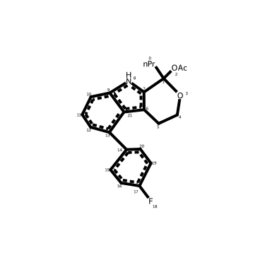 CCCC1(OC(C)=O)OCCc2c1[nH]c1cccc(-c3ccc(F)cc3)c21